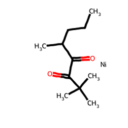 CCCC(C)C(=O)C(=O)C(C)(C)C.[Ni]